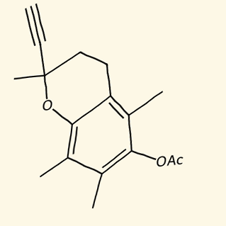 C#CC1(C)CCc2c(C)c(OC(C)=O)c(C)c(C)c2O1